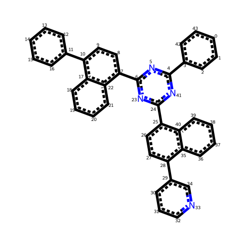 c1ccc(-c2nc(-c3ccc(-c4ccccc4)c4ccccc34)nc(-c3ccc(-c4cccnc4)c4ccccc34)n2)cc1